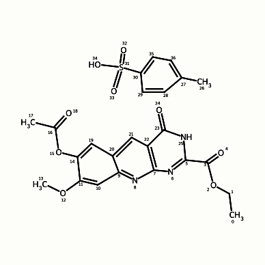 CCOC(=O)c1nc2nc3cc(OC)c(OC(C)=O)cc3cc2c(=O)[nH]1.Cc1ccc(S(=O)(=O)O)cc1